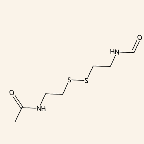 CC(=O)NCCSSCCNC=O